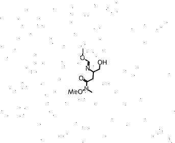 CON(C)C(=O)CC(CO)N=COI